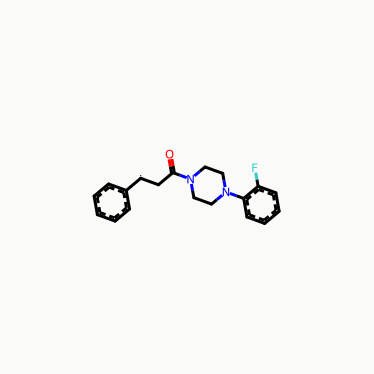 O=C(C[CH]c1ccccc1)N1CCN(c2ccccc2F)CC1